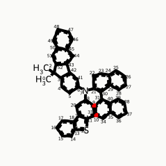 CC1(C)c2ccc(N(c3ccc4sc5ccccc5c4c3)c3ccc4ccccc4c3-c3cccc4ccccc34)cc2-c2cc3ccccc3cc21